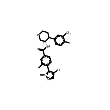 Cc1cc(C(=O)N[C@@H]2CNCCC2c2ccc(Cl)c(C(F)(F)F)c2)ccc1-c1c(Cl)cnn1C